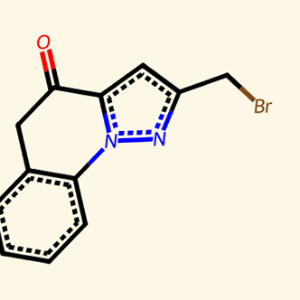 O=C1Cc2ccccc2-n2nc(CBr)cc21